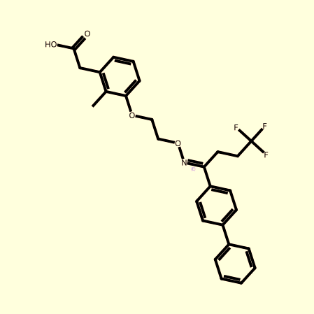 Cc1c(CC(=O)O)cccc1OCCO/N=C(\CCC(F)(F)F)c1ccc(-c2ccccc2)cc1